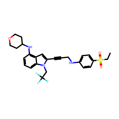 CCS(=O)(=O)c1ccc(NCC#Cc2cc3c(NC4CCOCC4)cccc3n2CC(F)(F)F)cc1